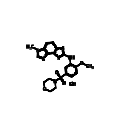 COc1ccc(S(=O)(=O)N2CCOCC2)cc1Nc1nc2c(ccc3c2ncn3C)s1.Cl